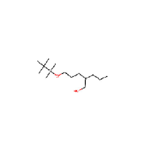 CCCC(CO)CCCO[Si](C)(C)C(C)(C)C